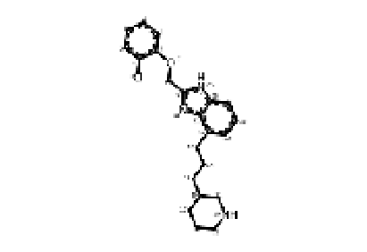 Clc1ccccc1OCc1nc2c(CCCC3CCCNC3)cccc2[nH]1